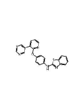 c1cnc(Oc2ccc(Nc3nc4ccccc4s3)cc2)c(-c2cncnc2)c1